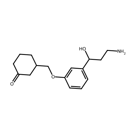 NCCC(O)c1cccc(OCC2CCCC(=O)C2)c1